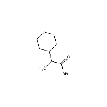 CCCC(=O)C(C)C1CCCCC1